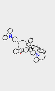 C=C1/C=C\C=C/CC2=CCCC=C2N1C1=CCC(C2CCC3C(C2)C2(CCCC(C4CCC(N5C6=C(CCC=C6)C6=CCCCC65)CC4)CCC34C3=CC=CCC3C3=C4CCC=C3)C(CCC)=C(C)c3ccccc32)C=C1